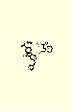 C=C(OC)c1ccc2c(c1)[nH]c1cc(Cc3ccsc3)nc(NCCC[N+]3(CC(N)=O)CCCCC3)c12